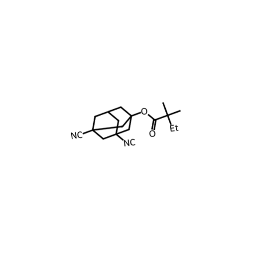 [C-]#[N+]C12CC3CC(C#N)(C1)CC(OC(=O)C(C)(C)CC)(C3)C2